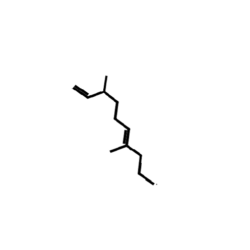 [CH2]CC/C(C)=C/CCC(C)C=C